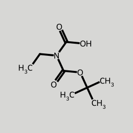 CCN(C(=O)O)C(=O)OC(C)(C)C